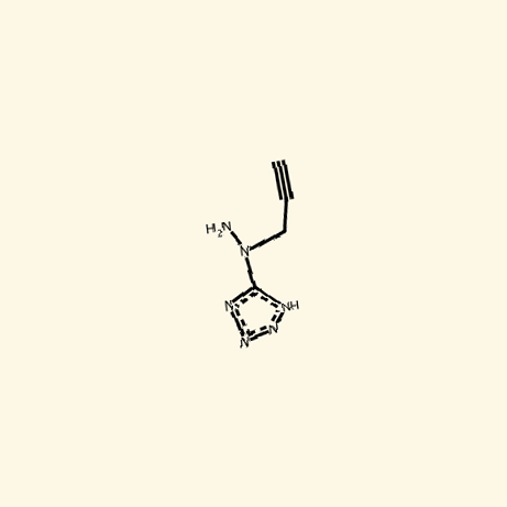 C#CCN(N)c1nnn[nH]1